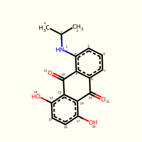 CC(C)Nc1cccc2c1C(=O)c1c(O)ccc(O)c1C2=O